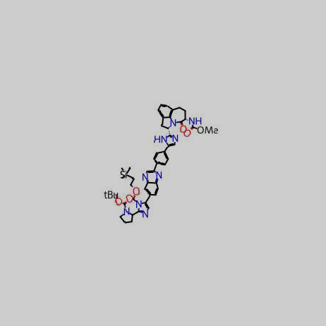 COC(=O)N[C@H]1CCc2cccc3c2N(C1=O)[C@H](c1ncc(-c2ccc(-c4cnc5cc(-c6cnc(C7CCCN7C(=O)OC(C)(C)C)n6COCC[Si](C)(C)C)ccc5n4)cc2)[nH]1)C3